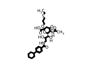 CCSCCCO[C@]1(C(=O)O)CC(O)[C@@H](NC(C)=O)[C@H](C(O)[C@H](O)CNC(=O)c2ccc(C3CCCCC3)cc2)O1